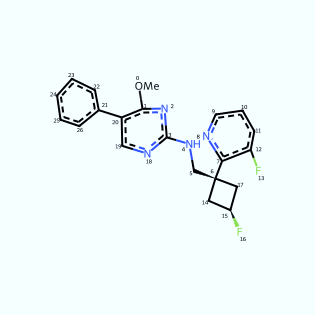 COc1nc(NC[C@]2(c3ncccc3F)C[C@H](F)C2)ncc1-c1ccccc1